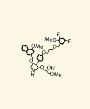 COC[C@@H](O)CO[C@@H]1CNC[C@H](OCc2cc(OC)c3ccccc3c2)[C@H]1c1ccc(OCCCOCc2cc(F)cc(F)c2OC)cc1